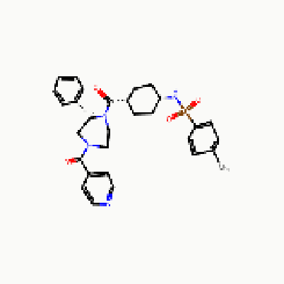 O=C(c1ccncc1)N1CCN(C(=O)[C@H]2CC[C@H](NS(=O)(=O)c3ccc(C(F)(F)F)cc3)CC2)[C@@H](c2ccccc2)C1